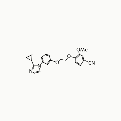 COc1cc(C#N)ccc1OCCOc1cccc(-n2ccnc2C2CC2)c1